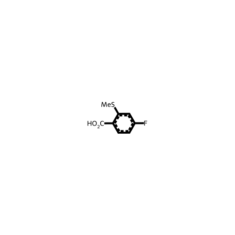 CSc1cc(F)ccc1C(=O)O